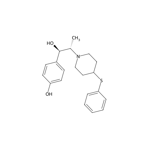 C[C@@H]([C@H](O)c1ccc(O)cc1)N1CCC(Sc2ccccc2)CC1